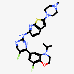 CC(C)N1CCOc2c(F)cc(-c3nc(Nc4ccc5cc(N6CCN(C)CC6)sc5n4)ncc3F)cc21